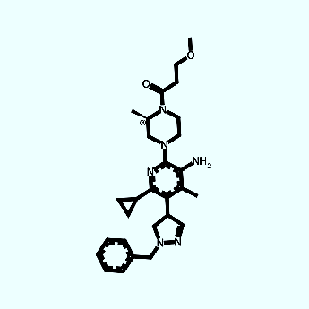 COCCC(=O)N1CCN(c2nc(C3CC3)c(C3C=NN(Cc4ccccc4)C3)c(C)c2N)C[C@H]1C